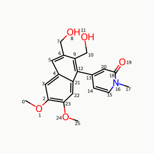 COc1cc2cc(CO)c(CO)c(-c3ccn(C)c(=O)c3)c2cc1OC